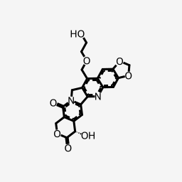 O=C1OCc2c(cc3n(c2=O)Cc2c-3nc3cc4c(cc3c2COCCO)OCO4)[C@@H]1O